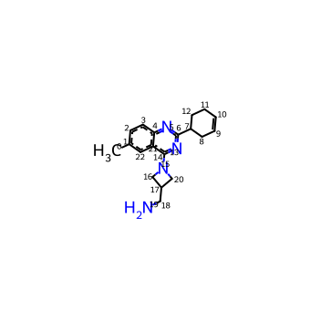 Cc1ccc2nc(C3CC=CCC3)nc(N3CC(CN)C3)c2c1